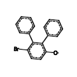 [O]c1ccc(Br)c(-c2ccccc2)c1-c1ccccc1